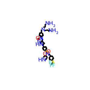 NCCCN(CCCN)Cc1ccc(-n2cc3cc(-c4ccc(S(=O)(=O)N(Cc5ccc(SC(F)(F)F)cc5)C5CCNCC5)cc4)[nH]c3nc2=O)cc1